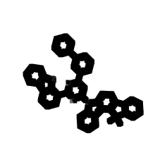 CC1(C)c2ccccc2-c2ccc3c(c21)c1ccccc1n3-c1cc(-c2cccc(-c3ccccc3)c2)nc(-c2cccc3c2oc2ccccc23)n1